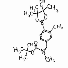 Cc1cc(CN(C)C(=O)OC(C)(C)C)ccc1B1OC(C)(C)C(C)(C)O1